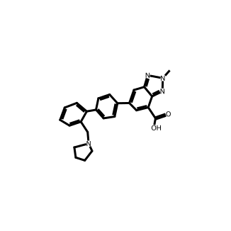 Cn1nc2cc(-c3ccc(-c4ccccc4CN4CCCC4)cc3)cc(C(=O)O)c2n1